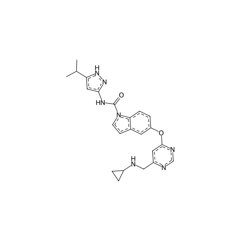 CC(C)c1cc(NC(=O)n2ccc3cc(Oc4cc(CNC5CC5)ncn4)ccc32)n[nH]1